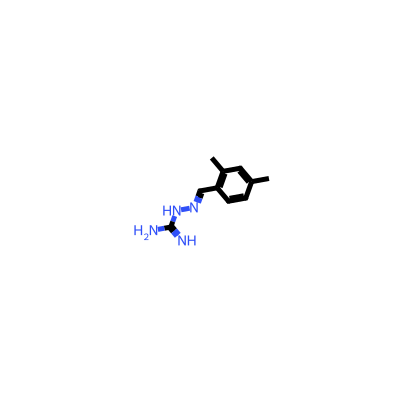 Cc1ccc(/C=N/NC(=N)N)c(C)c1